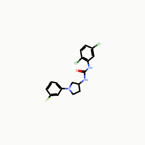 O=C(Nc1cc(Cl)ccc1Cl)NC1CCN(c2cccc(F)c2)C1